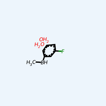 CBc1cccc(F)c1.O.O